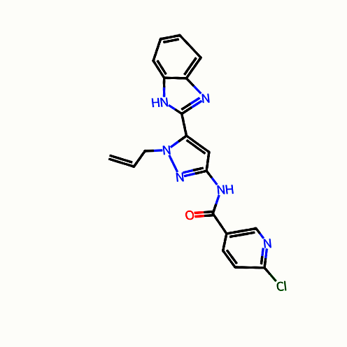 C=CCn1nc(NC(=O)c2ccc(Cl)nc2)cc1-c1nc2ccccc2[nH]1